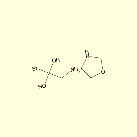 C1COCN1.CCC(O)(O)CN